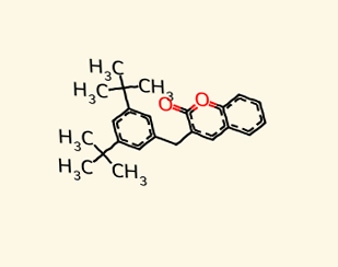 CC(C)(C)c1cc(Cc2cc3ccccc3oc2=O)cc(C(C)(C)C)c1